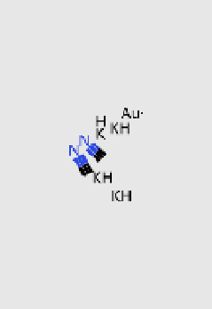 C#N.C#N.[Au].[KH].[KH].[KH].[KH]